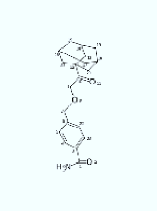 NC(=O)c1ccc(COCC(=O)C23CC4CC(CC(C4)C2)C3)cc1